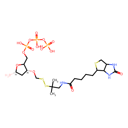 B[C@H]1C[C@@H](OCSSC(C)(C)CNC(=O)CCCCC2SCC3NC(=O)NC32)C(COP(=O)(O)OP(=O)(O)OP(=O)(O)O)O1